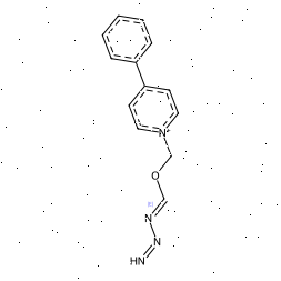 N=N/N=C/OC[n+]1ccc(-c2ccccc2)cc1